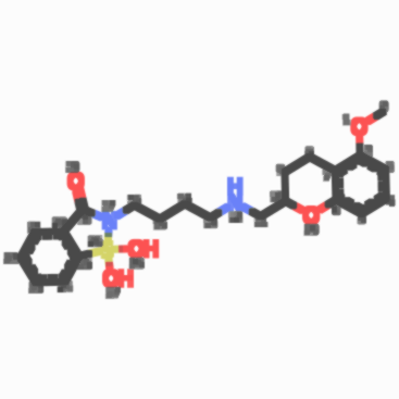 COc1cccc2c1CCC(CNCCCCN1C(=O)c3ccccc3S1(O)O)O2